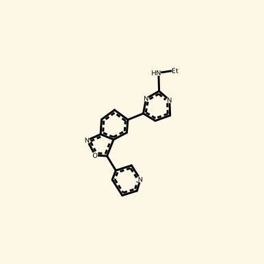 CCNc1nccc(-c2ccc3noc(-c4cccnc4)c3c2)n1